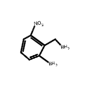 BCc1c(B)cccc1[N+](=O)[O-]